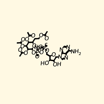 CC(=O)OCCC1OC(OP(=O)(O)OP(O)(=S)OCC2OC(n3cnc4c(N)ncnc43)C(O)C2O)C(OC(C)=O)C(OC(C)=O)C1OC(C)=O